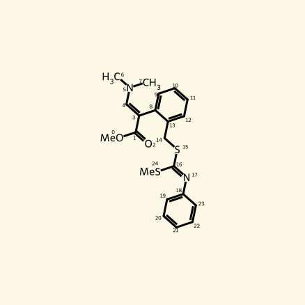 COC(=O)/C(=C/N(C)C)c1ccccc1CS/C(=N/c1ccccc1)SC